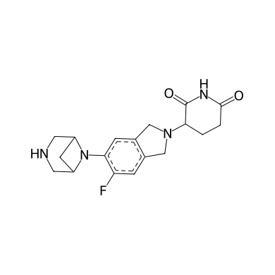 O=C1CCC(N2Cc3cc(F)c(N4C5CNCC4C5)cc3C2)C(=O)N1